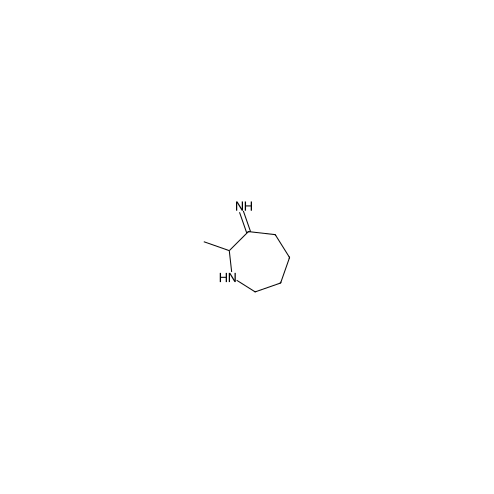 CC1NCCCCC1=N